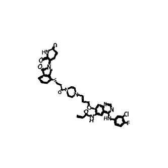 C=CC(=O)Nc1cc2c(Nc3ccc(F)c(Cl)c3)ncnc2cc1OCCCN1CCN(C(=O)CCSc2cccc3c2CN(C2CCC(=O)NC2=O)C3=O)CC1